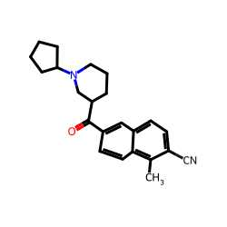 Cc1c(C#N)ccc2cc(C(=O)C3CCCN(C4CCCC4)C3)ccc12